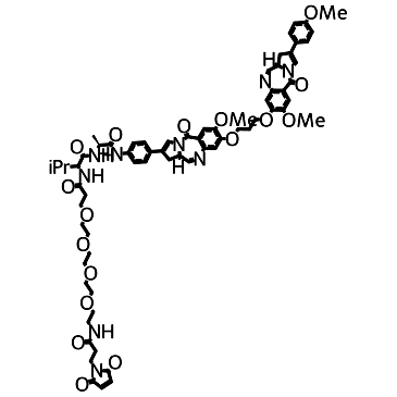 COc1ccc(C2=CN3C(=O)c4cc(OC)c(OCCCOc5cc6c(cc5OC)C(=O)N5C=C(c7ccc(NC(=O)[C@H](C)NC(=O)C(NC(=O)CCOCCOCCOCCOCCNC(=O)CCN8C(=O)C=CC8=O)C(C)C)cc7)C[C@H]5C=N6)cc4N=C[C@@H]3C2)cc1